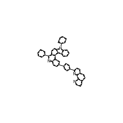 c1ccc(-c2nc3ccc(-c4ccc(-c5ccc6ccc7cccnc7c6n5)cc4)cc3c3c2ccc2c3c3ccccc3n2-c2ccccc2)cc1